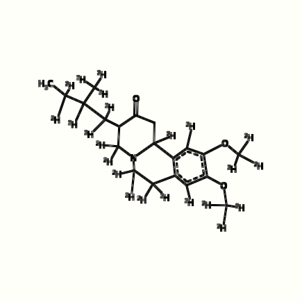 [2H]c1c(OC([2H])([2H])[2H])c(OC([2H])([2H])[2H])c([2H])c2c1C1([2H])CC(=O)C(C([2H])([2H])C([2H])(C([2H])([2H])[2H])C([2H])([2H])C)C([2H])([2H])N1C([2H])([2H])C2([2H])[2H]